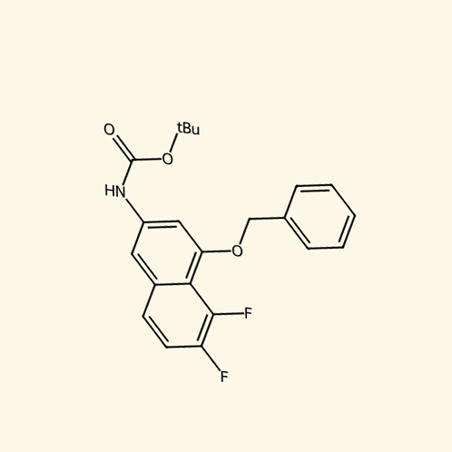 CC(C)(C)OC(=O)Nc1cc(OCc2ccccc2)c2c(F)c(F)ccc2c1